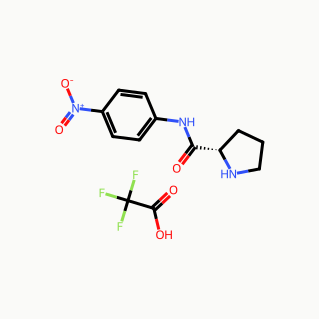 O=C(Nc1ccc([N+](=O)[O-])cc1)[C@@H]1CCCN1.O=C(O)C(F)(F)F